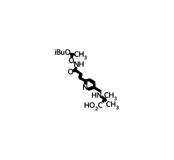 CC(C)COC(C)ONC(=O)/C=C/c1ccc(CNC(C)(C)C(=O)O)cn1